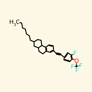 CCCCCCCC1CCC2c3ccc(C#Cc4ccc(OC(F)(F)F)c(F)c4)cc3CCC2C1